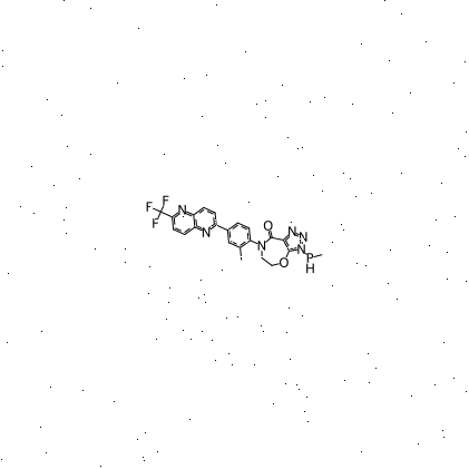 CPn1nnc2c1OCCN(c1ccc(-c3ccc4nc(C(F)(F)F)ccc4n3)cc1C)C2=O